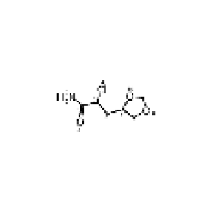 NC(=O)C(Cl)CC1COCO1